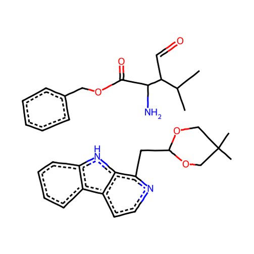 CC(C)C(C=O)C(N)C(=O)OCc1ccccc1.CC1(C)COC(Cc2nccc3c2[nH]c2ccccc23)OC1